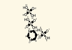 O=S(=O)(O)O.O=S(=O)(O)O.O=S(=O)(O)O.c1cncnc1